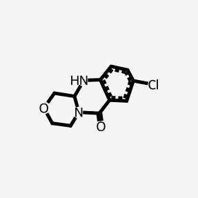 O=C1c2cc(Cl)ccc2NC2COCCN12